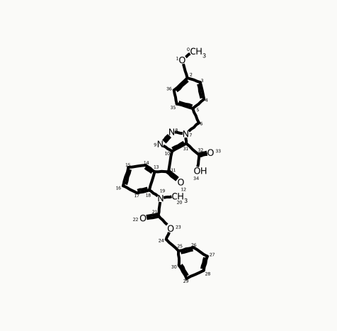 COc1ccc(Cn2nnc(C(=O)c3ccccc3N(C)C(=O)OCc3ccccc3)c2C(=O)O)cc1